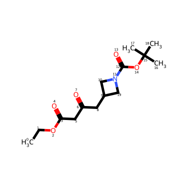 CCOC(=O)CC(=O)CC1CN(C(=O)OC(C)(C)C)C1